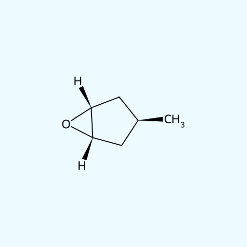 C[C@H]1C[C@@H]2O[C@@H]2C1